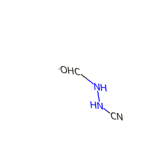 N#CNN[C]=O